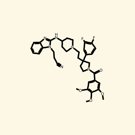 COc1cc(C(=O)N2CCC(CCN3CCC(Nc4nc5ccccc5n4CCC#N)CC3)(c3ccc(F)c(F)c3)C2)cc(OC)c1OC